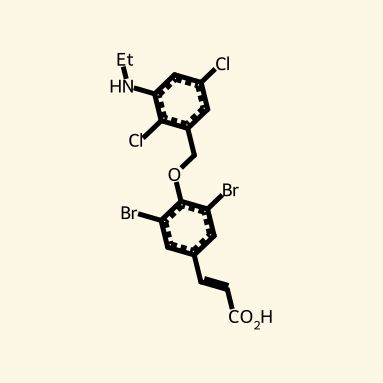 CCNc1cc(Cl)cc(COc2c(Br)cc(/C=C/C(=O)O)cc2Br)c1Cl